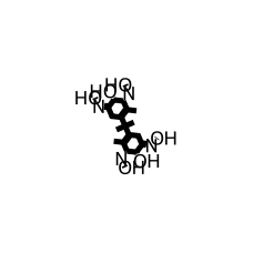 CC1=C(C(C)(C)C2=C(C)C(=NO)C(O)C(=NO)C2)CC(=NO)C(O)C1=NO